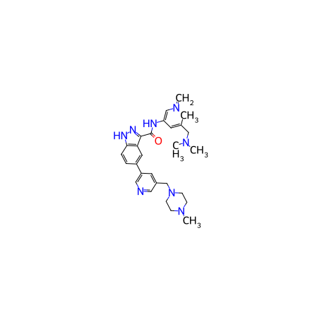 C=N/C=C(\C=C(/C)CN(C)C)NC(=O)c1n[nH]c2ccc(-c3cncc(CN4CCN(C)CC4)c3)cc12